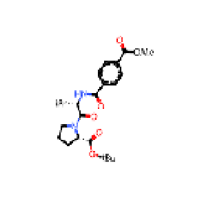 COC(=O)c1ccc(C(=O)N[C@H](C(=O)N2CCC[C@H]2C(=O)OC(C)(C)C)C(C)C)cc1